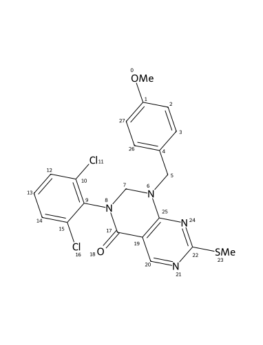 COc1ccc(CN2CN(c3c(Cl)cccc3Cl)C(=O)c3cnc(SC)nc32)cc1